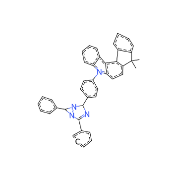 CC1(C)c2ccccc2-c2c1ccc1c2c2ccccc2n1-c1ccc(C2N=C(c3ccccc3)N3C(c4ccccc4)N23)cc1